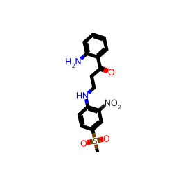 CS(=O)(=O)c1ccc(NCCC(=O)c2ccccc2N)c([N+](=O)[O-])c1